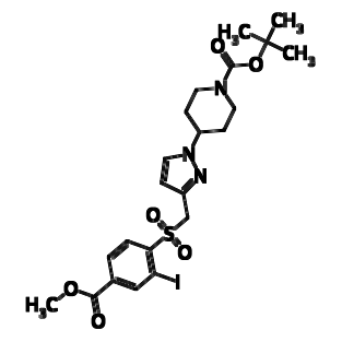 COC(=O)c1ccc(S(=O)(=O)Cc2ccn(C3CCN(C(=O)OC(C)(C)C)CC3)n2)c(I)c1